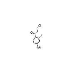 CCCc1ccc(C(=O)CCCl)c(F)c1